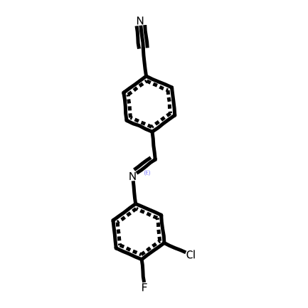 N#Cc1ccc(/C=N/c2ccc(F)c(Cl)c2)cc1